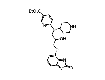 CCOC(=O)c1ccc(N(CC(O)COc2cccc3c2=NC(=O)N=3)C2CCNCC2)nc1